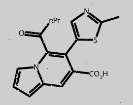 CCCC(=O)c1c(-c2cnc(C)s2)c(C(=O)O)cc2cccn12